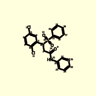 O=C(CN(c1cc(Cl)ccc1Cl)S(=O)(=O)c1ccccc1)Nc1cccnc1